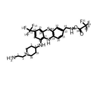 NCCN1CCC(Nc2cc(C(F)(F)F)cc3c2Nc2ccc(CNOC(=O)C(F)(F)F)cc2S3)CC1